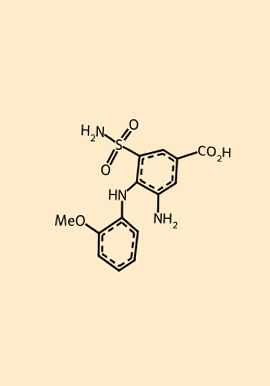 COc1ccccc1Nc1c(N)cc(C(=O)O)cc1S(N)(=O)=O